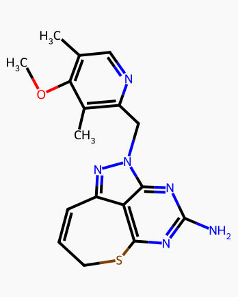 COc1c(C)cnc(Cn2nc3c4c(nc(N)nc42)SCC=C3)c1C